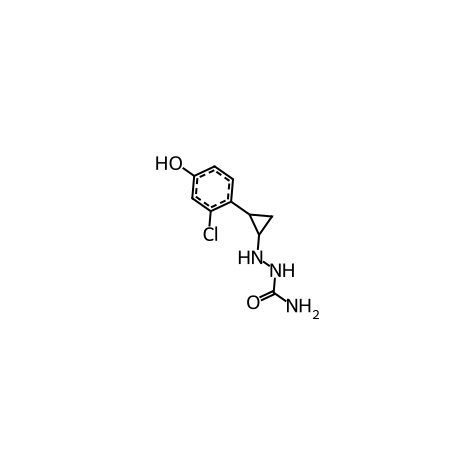 NC(=O)NNC1CC1c1ccc(O)cc1Cl